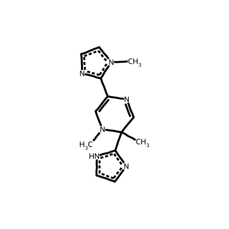 CN1C=C(c2nccn2C)N=CC1(C)c1ncc[nH]1